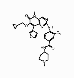 COc1cc(C(=O)NC2CCN(C)CC2)ccc1Nc1ncc2c(n1)c(-c1ccoc1)c(OCC1CC1)c(=O)n2C